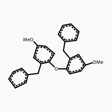 COc1ccc(Oc2ccc(OC)cc2Cc2ccccc2)c(Cc2ccccc2)c1